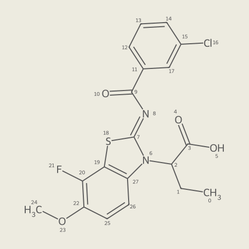 CCC(C(=O)O)n1c(=NC(=O)c2cccc(Cl)c2)sc2c(F)c(OC)ccc21